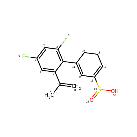 C=C(C)c1cc(F)cc(F)c1C1=CC(S(=O)O)=CCC1